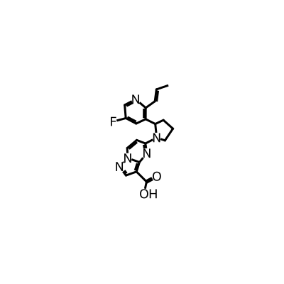 CC=Cc1ncc(F)cc1C1CCCN1c1ccn2ncc(C(=O)O)c2n1